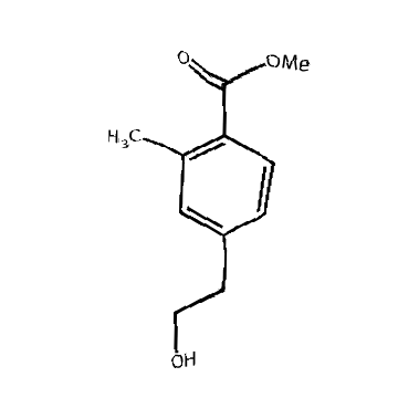 COC(=O)c1ccc(CCO)cc1C